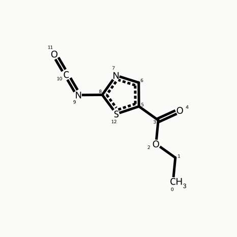 CCOC(=O)c1cnc(N=C=O)s1